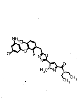 CCN(CC)C(=O)c1cc(-c2nnc(Cc3ccc(Cl)c(Oc4cc(N)cc(Cl)c4)c3F)o2)n(C)n1